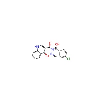 O=C(c1c[nH]c2ccccc2c1=O)N1N=Cc2cc(Cl)ccc2B1O